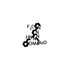 COc1ccccc1CCNc1nc(COCC(C)C)nc2nc(-c3ncccc3C(F)(F)F)ccc12